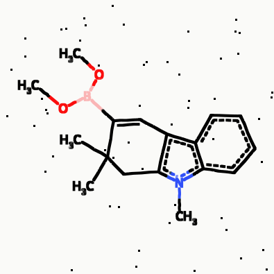 COB(OC)C1=Cc2c(n(C)c3ccccc23)CC1(C)C